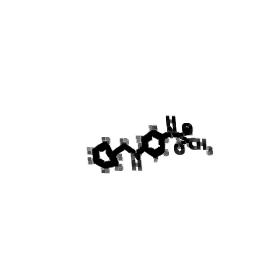 CS(=O)(=O)Nc1ccc(NCc2ccccc2)cc1